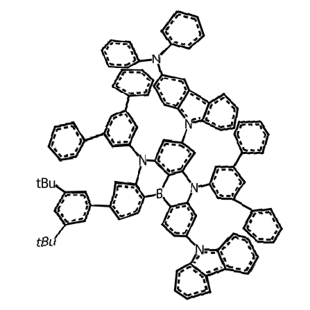 CC(C)(C)c1cc(-c2ccc3c(c2)N(c2cc(-c4ccccc4)cc(-c4ccccc4)c2)c2cc(-n4c5ccccc5c5cc(N(c6ccccc6)c6ccccc6)ccc54)cc4c2B3c2ccc(-n3c5ccccc5c5ccccc53)cc2N4c2cc(-c3ccccc3)cc(-c3ccccc3)c2)cc(C(C)(C)C)c1